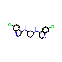 Clc1ccc2c(NC3CCCC(Nc4ccnc5cc(Cl)ccc45)C3)ccnc2c1